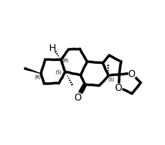 C[C@@H]1CC[C@]2(C)C3C(=O)C[C@@]4(C)C(CCC45OCCO5)C3CC[C@@H]2C1